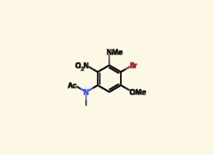 CNc1c(Br)c(OC)cc(N(C)C(C)=O)c1[N+](=O)[O-]